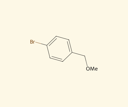 [C]OCc1ccc(Br)cc1